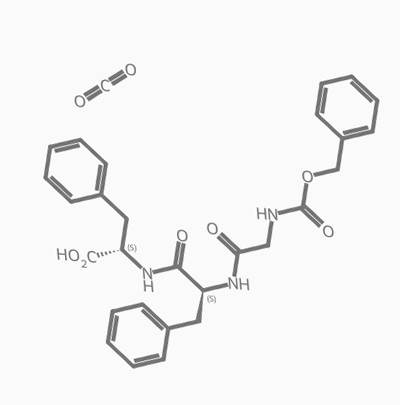 O=C(CNC(=O)OCc1ccccc1)N[C@@H](Cc1ccccc1)C(=O)N[C@@H](Cc1ccccc1)C(=O)O.O=C=O